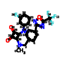 CN(Cc1ccc(-c2noc(C(F)(F)F)n2)cc1)c1c(Nc2cccc(F)c2)c(=O)c1=O